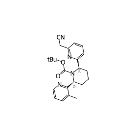 Cc1cccnc1[C@@H]1CCC[C@H](c2cccc(CC#N)n2)N1C(=O)OC(C)(C)C